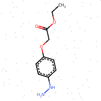 CCOC(=O)COc1ccc(NN)cc1